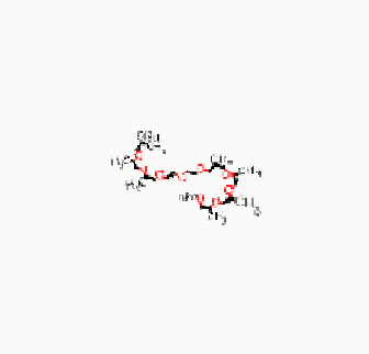 CCCOCC(C)OCC(C)OCC(C)OCC(C)COCCOCCOCC(C)OCC(C)OCC(C)OCC(C)C